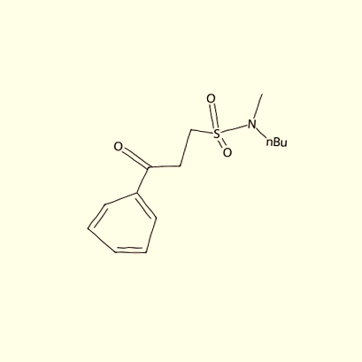 CCCCN(C)S(=O)(=O)CCC(=O)c1ccccc1